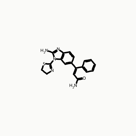 NC(=O)C=C(c1ccccc1)c1ccc2nc(N)n(C3=NCCS3)c2c1